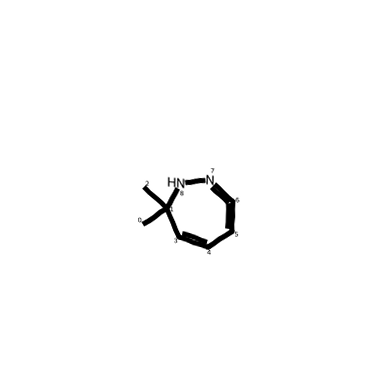 CC1(C)C=CC=C=NN1